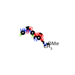 COCCN(C)CCCOc1cc2nccc(Oc3ccc(NC(=O)C4(C(=O)Nc5ccc(F)cc5)CC4)cc3F)c2c2c1OCCO2